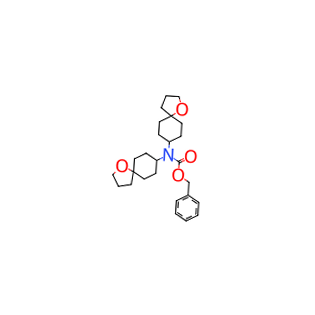 O=C(OCc1ccccc1)N(C1CCC2(CCCO2)CC1)C1CCC2(CCCO2)CC1